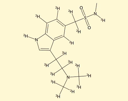 [2H]c1c(C([2H])([2H])S(=O)(=O)N([2H])C)c([2H])c2c(C([2H])([2H])C([2H])([2H])N(C([2H])([2H])[2H])C([2H])([2H])[2H])cn([2H])c2c1[2H]